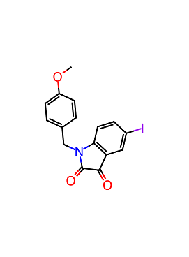 COc1ccc(CN2C(=O)C(=O)c3cc(I)ccc32)cc1